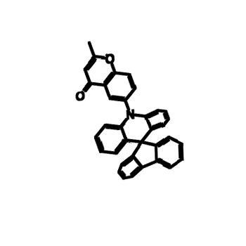 Cc1cc(=O)c2cc(N3c4ccccc4C4(c5ccccc5-c5ccccc54)c4ccccc43)ccc2o1